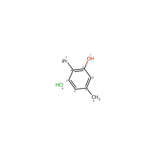 Cc1ccc(C(C)C)c(O)c1.Cl